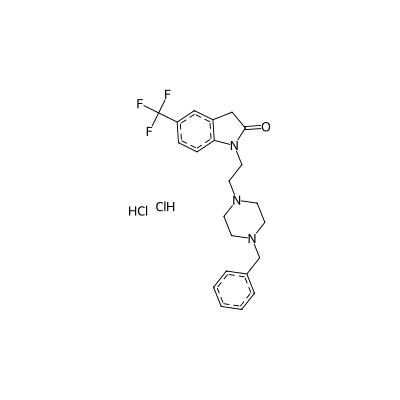 Cl.Cl.O=C1Cc2cc(C(F)(F)F)ccc2N1CCN1CCN(Cc2ccccc2)CC1